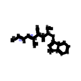 CCCCC(Cc1c[nH]c2ccccc12)NC(=O)/C(S)=C/N=C/Br